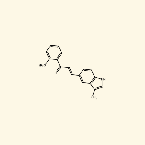 Cc1n[nH]c2ccc(C=CC(=O)c3ccccc3OCC(C)C)cc12